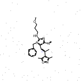 C=Nc1nc(NCCCOC)n(Cc2ccccc2)c1/C=C(\C)c1c(C)noc1C